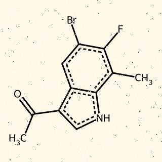 CC(=O)c1c[nH]c2c(C)c(F)c(Br)cc12